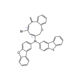 C=C1/C=C(Br)\C=C(\N(c2ccc3oc4ccccc4c3c2)c2ccc3sc4ccccc4c3c2)COc2ccccc21